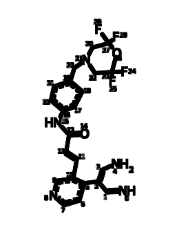 N=C/C(=C\N)c1ccncc1/C=C/C(=O)Nc1ccc(CN2CC(F)(F)OC(F)(F)C2)cc1